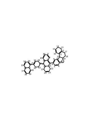 C1=CC2=C(c3ccc4c(c3)C3C5=C(CCC=C5)CCC3O4)C3CC=CCC3C(C3CC=C(C4=CC=CC5C=CC=CC45)CC3)C2C=C1